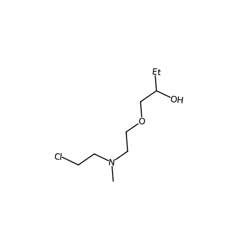 CCC(O)COCCN(C)CCCl